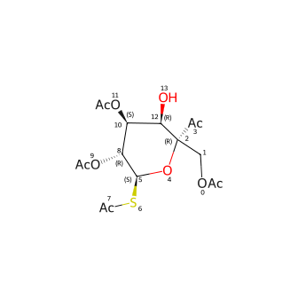 CC(=O)OC[C@@]1(C(C)=O)O[C@@H](SC(C)=O)[C@H](OC(C)=O)[C@@H](OC(C)=O)[C@H]1O